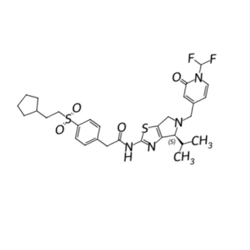 CC(C)[C@H]1c2nc(NC(=O)Cc3ccc(S(=O)(=O)CCC4CCCC4)cc3)sc2CN1Cc1ccn(C(F)F)c(=O)c1